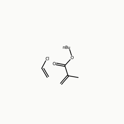 C=C(C)C(=O)OCCCC.C=CCl